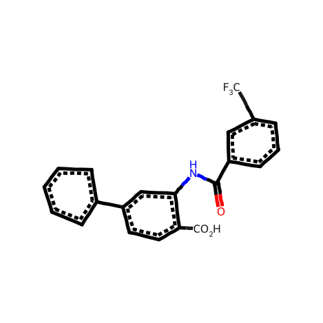 O=C(Nc1cc(-c2ccccc2)ccc1C(=O)O)c1cccc(C(F)(F)F)c1